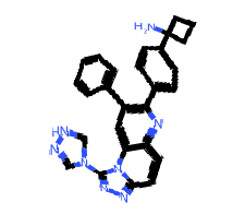 NC1(c2ccc(-c3nc4ccc5nnc(N6C=NNC6)n5c4cc3-c3ccccc3)cc2)CCC1